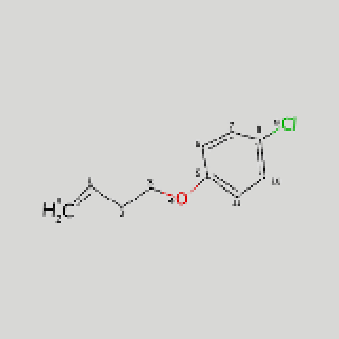 C=CCCOc1ccc(Cl)cc1